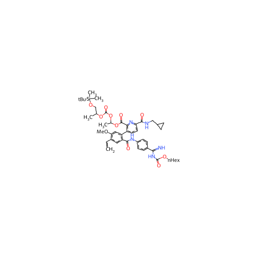 C=Cc1cc(C(=O)Nc2ccc(C(=N)NC(=O)OCCCCCC)cc2)c(-c2ccc(C(=O)NCC3CC3)nc2C(=O)OC(C)OC(=O)OC(C)CO[Si](C)(C)C(C)(C)C)cc1OC